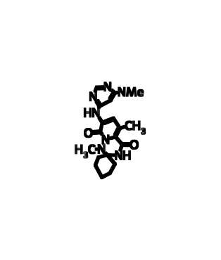 CNc1cc(Nc2cc(C)c3n(c2=O)N(C)C2(CCCCC2)NC3=O)ncn1